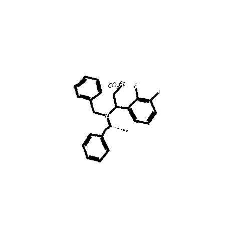 CCOC(=O)CC(c1cccc(I)c1F)N(Cc1ccccc1)[C@H](C)c1ccccc1